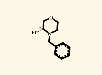 [CH2]C[C@@H]1COCCN1Cc1ccccc1